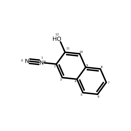 N#[N+]c1cc2ccccc2cc1O